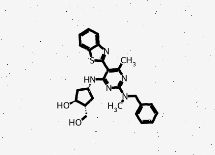 Cc1nc(N(C)Cc2ccccc2)nc(N[C@@H]2C[C@H](CO)[C@@H](O)C2)c1-c1nc2ccccc2s1